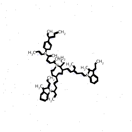 C=C/C=c1\c(=C)n(/C=C/C=C(C=C)/C=C/C2/C=C/C(/C=C/CC(C=C)n3/c(=C/C=C)c(=C)c4ccccc43)C/C=C/N(C(=C)/C=C\C(=C)N(/C=C/C)C3C=CC(/C(C=C)=C/C=C)=CC3)C2C=C)c2ccccc12